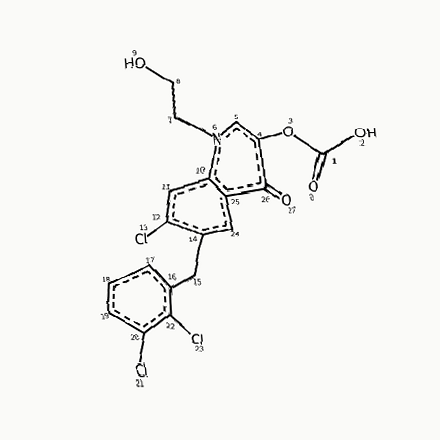 O=C(O)Oc1cn(CCO)c2cc(Cl)c(Cc3cccc(Cl)c3Cl)cc2c1=O